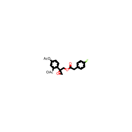 CC(=O)Oc1ccc(C2(COC(=O)Cc3ccc(F)cc3)CO2)c(OC(C)=O)c1